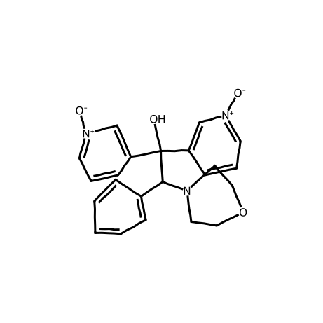 [O-][n+]1cccc(C(O)(c2ccc[n+]([O-])c2)C(c2ccccc2)N2CCOCC2)c1